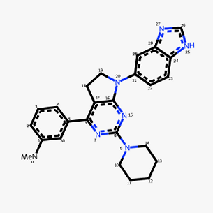 CNc1cccc(-c2nc(N3CCCCC3)nc3c2CCN3c2ccc3[nH]cnc3c2)c1